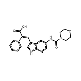 O=C(O)/C(=C/c1c[nH]c2ncc(NC(=O)N3CCOCC3)cc12)c1ccccc1